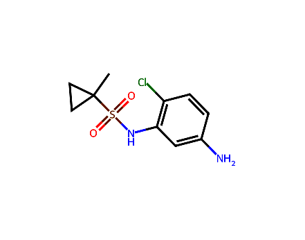 CC1(S(=O)(=O)Nc2cc(N)ccc2Cl)CC1